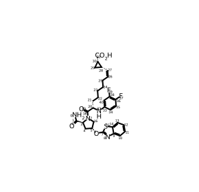 NC(=O)[C@@H]1C[C@@H](Oc2nc3ccccc3s2)CN1C(=O)[C@H](CCCCC/C=C\[C@@H]1C[C@@H]1C(=O)O)Nc1ccc(F)c(F)c1